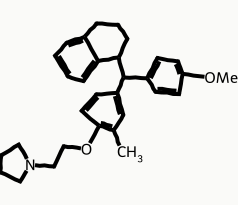 COc1ccc(C(c2ccc(OCCN3CCCC3)c(C)c2)C2CCCc3ccccc32)cc1